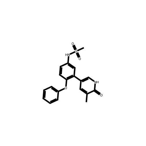 Cc1cc(-c2cc(NS(C)(=O)=O)ccc2Oc2ccccc2)c[nH]c1=O